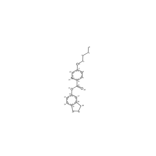 CCCCOc1ccc(C(=O)Oc2ccc3c(c2)CCC3)nc1